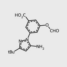 CC(C)(C)c1cc(N)n(-c2cc(OC=O)cc(C(=O)O)c2)n1